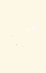 NC(=O)N1CC2CC(c3ccccc3)(c3ccccc3)CC2C1